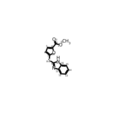 COC(=O)c1ccc(Sc2nc3ccccc3[nH]2)o1